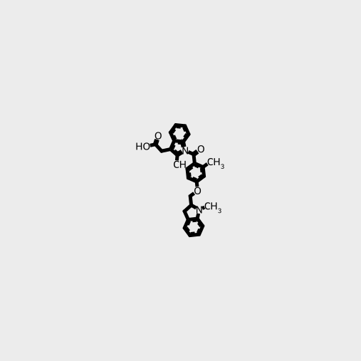 Cc1cc(OCC2Cc3ccccc3N2C)ccc1C(=O)n1c(C)c(CC(=O)O)c2ccccc21